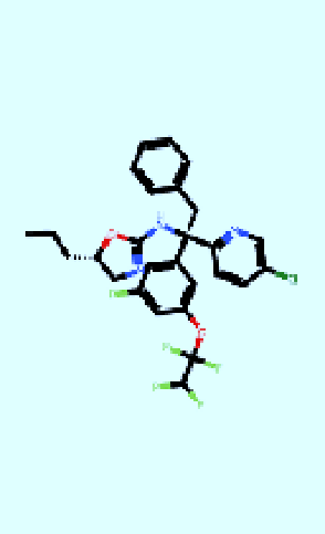 CCC[C@H]1CN=C(N[C@@](Cc2ccccc2)(c2cc(F)cc(OC(F)(F)C(F)F)c2)c2ccc(Cl)cn2)O1